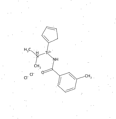 Cc1cccc(C(=O)[NH][Ti+2]([C]2=CC=CC2)[SiH](C)C)c1.[Cl-].[Cl-]